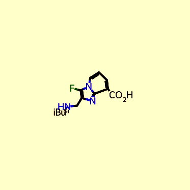 CC[C@H](C)NCc1nc2c(C(=O)O)cccn2c1F